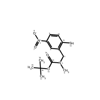 CN(Cc1cc([N+](=O)[O-])ccc1S)C(=O)OC(C)(C)C